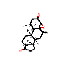 C=C1C[C@@H]2[C@H](CC[C@]3(C)C(=O)CC[C@@H]23)[C@@]2(C)[C@H](C)CC(=O)C3OC132